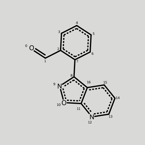 O=Cc1ccccc1-c1noc2ncccc12